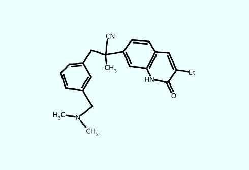 CCc1cc2ccc(C(C)(C#N)Cc3cccc(CN(C)C)c3)cc2[nH]c1=O